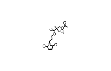 COCC(C)(COC(C)=O)C(=O)OCCCN1C(=O)C=CC1=O